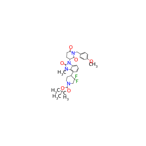 COc1ccc(CN2C(=O)CCC(n3c(=O)n(C)c4c(C5CCN(C(=O)OC(C)(C)C)CC5(F)F)cccc43)C2=O)cc1